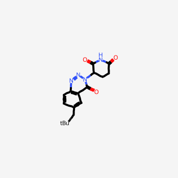 CC(C)(C)Cc1ccc2nnn(C3CCC(=O)NC3=O)c(=O)c2c1